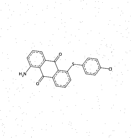 Nc1cccc2c1C(=O)c1cccc(Sc3ccc(Cl)cc3)c1C2=O